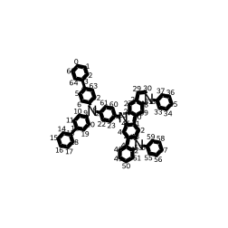 c1ccc(-c2ccc(N(c3ccc(-c4ccccc4)cc3)c3ccc(-n4c5cc6ccn(-c7ccccc7)c6cc5c5cc6c(cc54)c4ccccc4n6-c4ccccc4)cc3)cc2)cc1